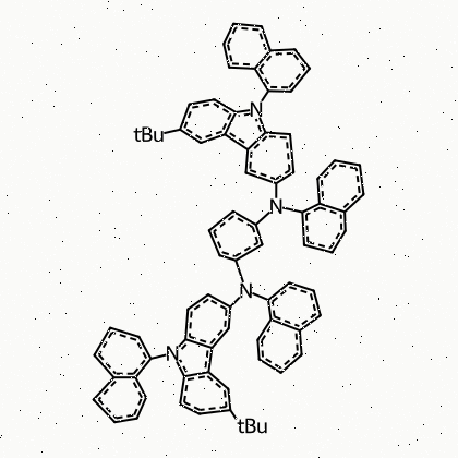 CC(C)(C)c1ccc2c(c1)c1cc(N(c3cccc(N(c4ccc5c(c4)c4cc(C(C)(C)C)ccc4n5-c4cccc5ccccc45)c4cccc5ccccc45)c3)c3cccc4ccccc34)ccc1n2-c1cccc2ccccc12